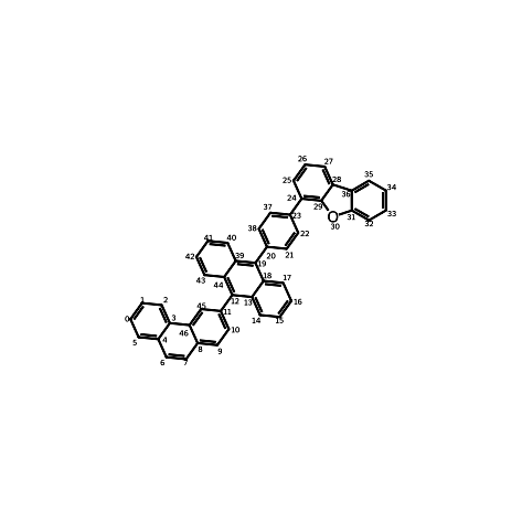 c1ccc2c(c1)ccc1ccc(-c3c4ccccc4c(-c4ccc(-c5cccc6c5oc5ccccc56)cc4)c4ccccc34)cc12